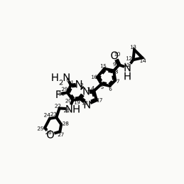 Nc1nn2c(-c3ccc(C(=O)NC4CC4)cc3)cnc2c(NCC2CCOCC2)c1F